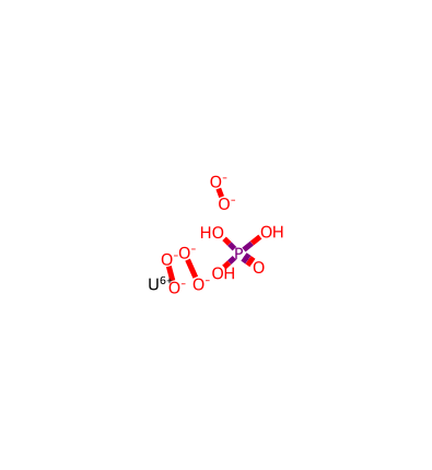 O=P(O)(O)O.[O-][O-].[O-][O-].[O-][O-].[U+6]